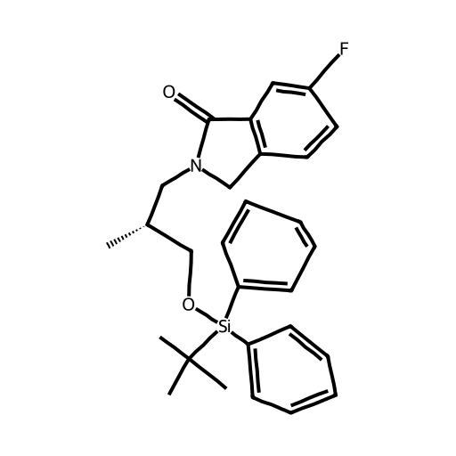 C[C@@H](CO[Si](c1ccccc1)(c1ccccc1)C(C)(C)C)CN1Cc2ccc(F)cc2C1=O